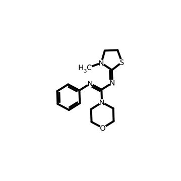 CN1CCS/C1=N/C(=N/c1ccccc1)N1CCOCC1